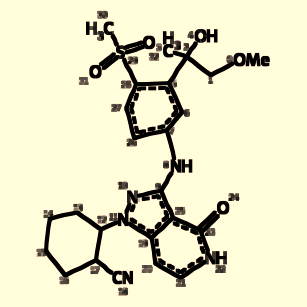 COCC(C)(O)c1cc(Nc2nn(C3CCCCC3C#N)c3cc[nH]c(=O)c23)ccc1S(C)(=O)=O